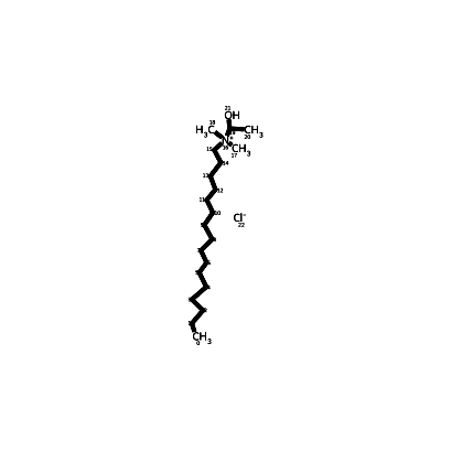 CCCCCCCCCCCCCCCC[N+](C)(C)C(C)O.[Cl-]